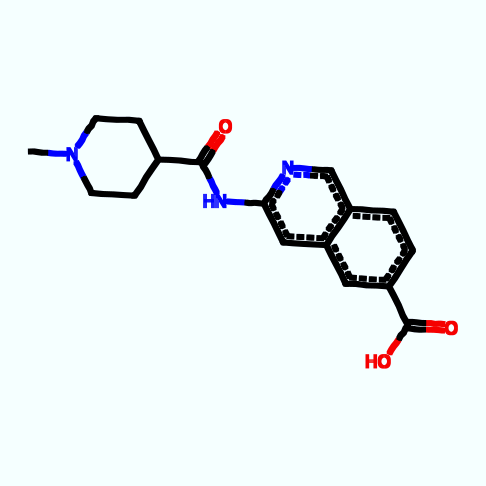 CN1CCC(C(=O)Nc2cc3cc(C(=O)O)ccc3cn2)CC1